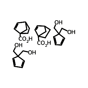 O=C(O)C12C=CC(CC1)C2.O=C(O)C12C=CC(CC1)C2.OCC1(CO)C=CC=C1.OCC1(CO)C=CC=C1